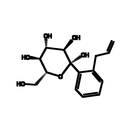 C=CCc1ccccc1[C@@]1(O)O[C@H](CO)[C@@H](O)[C@H](O)[C@H]1O